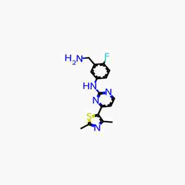 Cc1nc(C)c(-c2ccnc(Nc3ccc(F)c(CN)c3)n2)s1